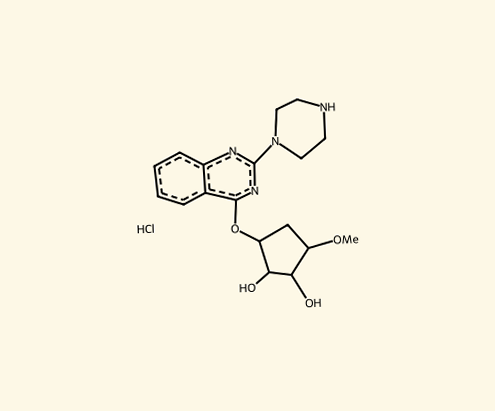 COC1CC(Oc2nc(N3CCNCC3)nc3ccccc23)C(O)C1O.Cl